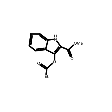 CCC(=O)Oc1c(C(=O)OC)[nH]c2ccccc12